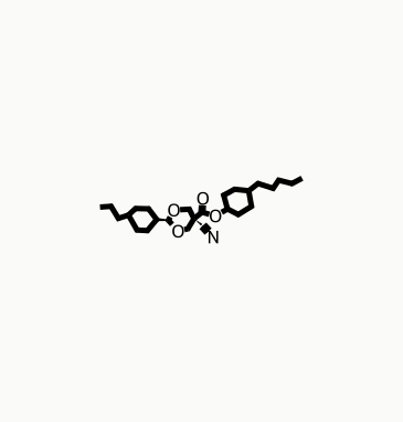 CCCCCC1CCC(OC(=O)[C@]2(C#N)CO[C@H](C3CCC(CCC)CC3)OC2)CC1